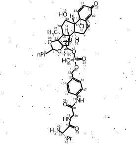 CCCC1O[C@@H]2C[C@H]3[C@@H]4CCC5=CC(=O)C=C[C@]5(C)[C@H]4[C@@H](O)C[C@]3(C)[C@]2(C(=O)COP(=O)(O)OCc2ccc(NC(=O)CNC(=O)[C@@H](N)C(C)C)cc2)O1